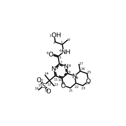 CC(CO)NC(=O)c1nc2c(c(C(C)(C)S(C)(=O)=O)n1)OCC1COCC(C)N21